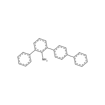 Nc1c(-c2ccccc2)cccc1-c1ccc(-c2ccccc2)cc1